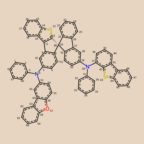 c1ccc(N(c2ccc3c(c2)-c2c(sc4ccccc24)[C@@]32c3ccccc3-c3cc(N(c4ccccc4)c4cccc5c4sc4ccccc45)ccc32)c2ccc3oc4ccccc4c3c2)cc1